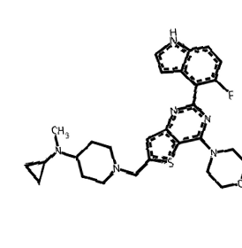 CN(C1CC1)C1CCN(Cc2cc3nc(-c4c(F)ccc5[nH]ccc45)nc(N4CCOCC4)c3s2)CC1